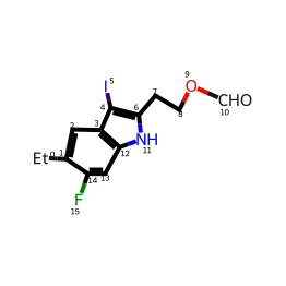 CCc1cc2c(I)c(CCOC=O)[nH]c2cc1F